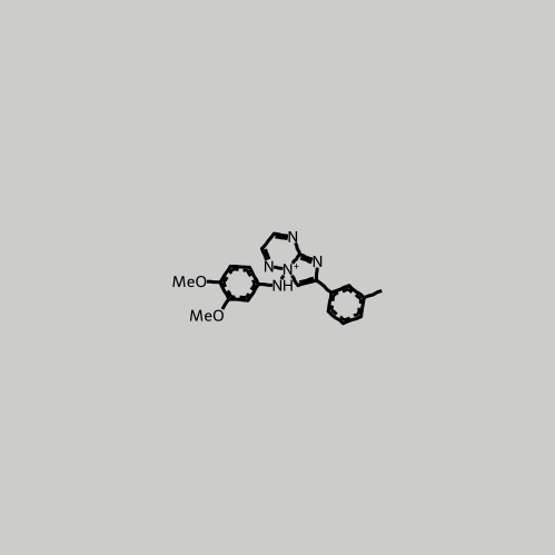 COc1ccc(N[N+]23C=C(c4cccc(C)c4)N=C2N=CC=N3)cc1OC